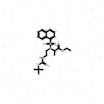 CCOC(=O)C(C)N(CCNC(=O)OC(C)(C)C)S(=O)(=O)c1cccc2ccccc12